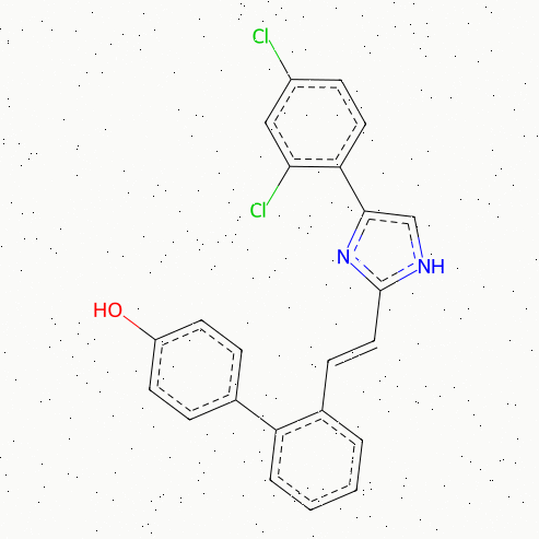 Oc1ccc(-c2ccccc2C=Cc2nc(-c3ccc(Cl)cc3Cl)c[nH]2)cc1